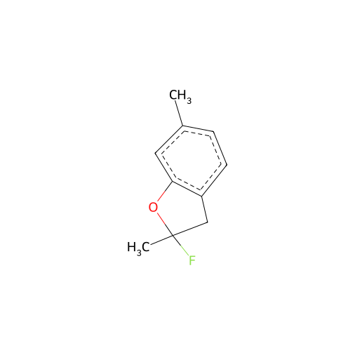 Cc1ccc2c(c1)OC(C)(F)C2